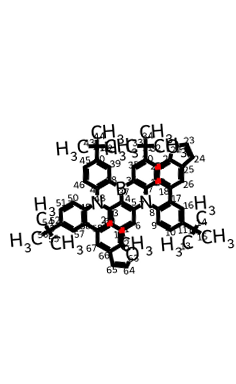 Cc1cc2c3c(c1)N(c1ccc(C(C)(C)C)cc1-c1ccc4occc4c1)c1ccc(C(C)(C)C)cc1B3c1cc(C(C)(C)C)ccc1N2c1ccc(C(C)(C)C)cc1-c1ccc2occc2c1